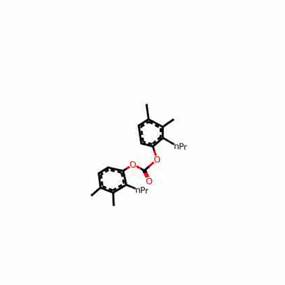 CCCc1c(OC(=O)Oc2ccc(C)c(C)c2CCC)ccc(C)c1C